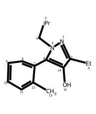 CCc1nn(CC(C)C)c(-c2ccccc2C)c1O